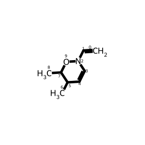 C=CN1C=CC(C)C(C)O1